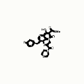 CNC(=O)c1c(O)c2ncc(Cc3ccc(F)cc3)c3c2n(c1=O)C=C(C(=O)N1CCOCC1)O3